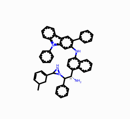 CC1C=CC=C(C2NN2C(c2ccccc2)[C@@H](N)c2ccc(Nc3cc4c(cc3-c3ccccc3)c3ccccc3n4-c3ccccc3)c3ccccc23)C1